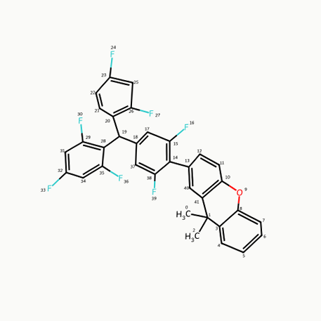 CC1(C)c2ccccc2Oc2ccc(-c3c(F)cc(C(c4ccc(F)cc4F)c4c(F)cc(F)cc4F)cc3F)cc21